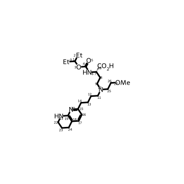 CCC(CC)OC(=O)N[C@@H](CCN(CCCCc1ccc2c(n1)NCCC2)CCOC)C(=O)O